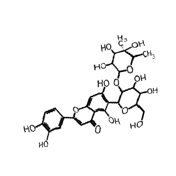 CC1OC(OC2C(c3c(O)cc4oc(-c5ccc(O)c(O)c5)cc(=O)c4c3O)OC(CO)C(O)C2O)C(O)C(O)[C@@]1(C)O